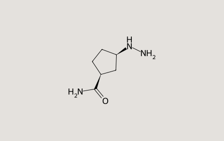 NN[C@@H]1CC[C@H](C(N)=O)C1